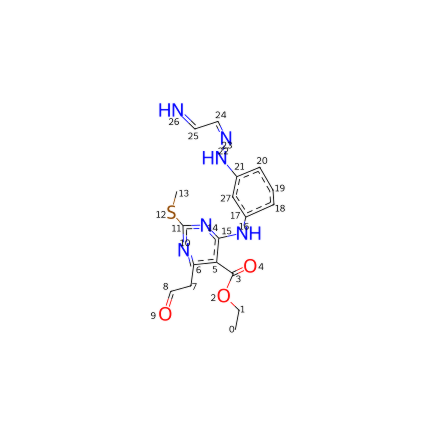 CCOC(=O)c1c(CC=O)nc(SC)nc1Nc1cccc(N/N=C\C=N)c1